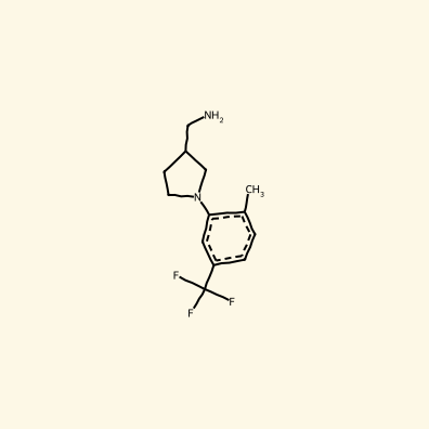 Cc1ccc(C(F)(F)F)cc1N1CCC(CN)C1